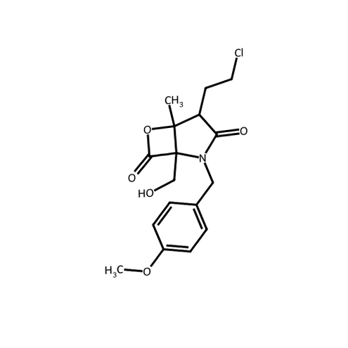 COc1ccc(CN2C(=O)C(CCCl)C3(C)OC(=O)C23CO)cc1